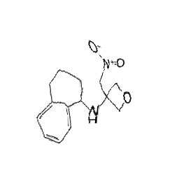 O=[N+]([O-])CC1(NC2CCCc3ccccc32)COC1